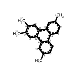 Cc1ccc2c3ccc(C)cc3c3cc(C)c(C)cc3c2c1